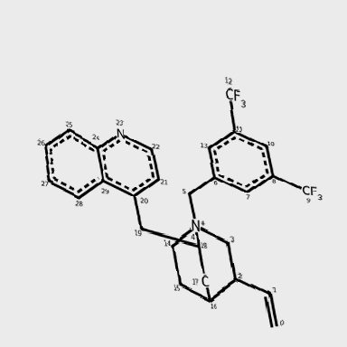 C=CC1C[N+]2(Cc3cc(C(F)(F)F)cc(C(F)(F)F)c3)CCC1CC2Cc1ccnc2ccccc12